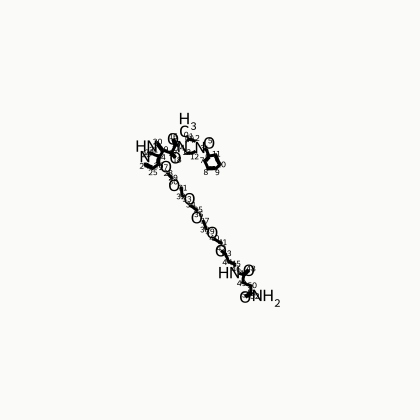 C[C@@H]1CN(C(=O)c2ccccc2)CCN1C(=O)C(=O)c1c[nH]c2nccc(OCCOCCOCCOCCOCCOCCCNC(=O)CCC(N)=O)c12